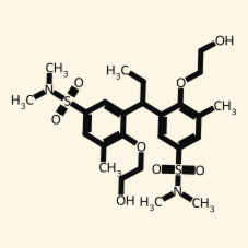 CCC(c1cc(S(=O)(=O)N(C)C)cc(C)c1OCCO)c1cc(S(=O)(=O)N(C)C)cc(C)c1OCCO